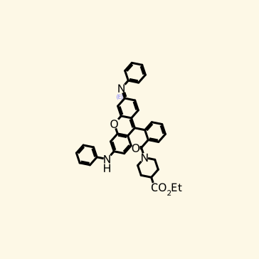 CCOC(=O)C1CCN(C(=O)c2ccccc2-c2c3cc/c(=N\c4ccccc4)cc-3oc3cc(Nc4ccccc4)ccc23)CC1